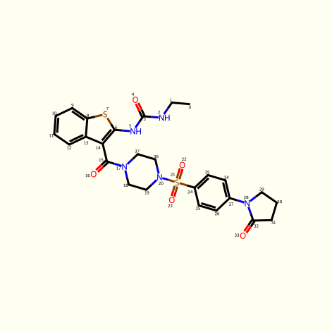 CCNC(=O)Nc1sc2ccccc2c1C(=O)N1CCN(S(=O)(=O)c2ccc(N3CCCC3=O)cc2)CC1